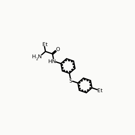 CCc1ccc(Sc2cccc(NC(=O)C(N)CC)c2)cc1